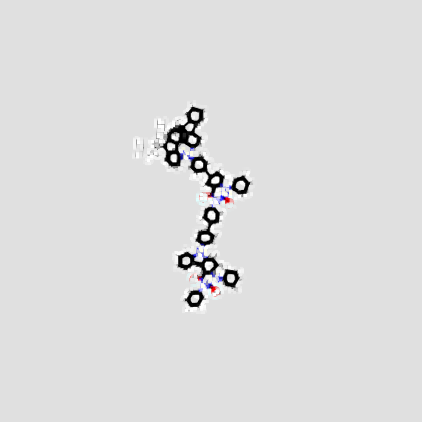 CC1(C)c2ccccc2-c2ccc(N(c3ccc(-c4ccc5c(c4)c(=O)n(-c4ccc(-c6ccc(-n7c8ccccc8c8c9c(=O)n(-c%10ccccc%10)c(=O)n(-c%10ccccc%10)c9ccc87)cc6)cc4)c(=O)n5-c4ccccc4)cc3)c3cccc4c3-c3ccccc3C4(C)C)cc21